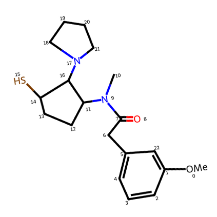 COc1cccc(CC(=O)N(C)C2CCC(S)C2N2CCCC2)c1